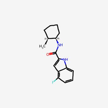 C[C@H]1CCCC[C@H]1NC(=O)c1cc2c(F)cccc2[nH]1